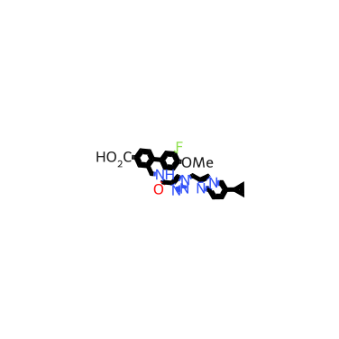 COc1ccc(-c2ccc(C(=O)O)cc2CNC(=O)c2cn(Cc3cn4cc(C5CC5)ccc4n3)nn2)cc1F